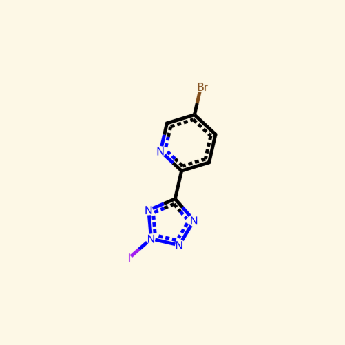 Brc1ccc(-c2nnn(I)n2)nc1